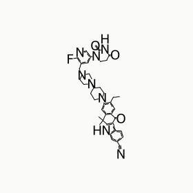 CCc1cc2c(cc1N1CCC(N3CCN(Cc4cc(N5CCC(=O)NC5=O)cnc4F)CC3)CC1)C(C)(C)c1[nH]c3cc(C#N)ccc3c1C2=O